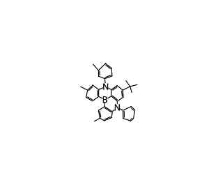 Cc1cccc(N2c3cc(C)ccc3B3c4cc(C)ccc4N(c4ccccc4)c4cc(C(C)(C)C)cc2c43)c1